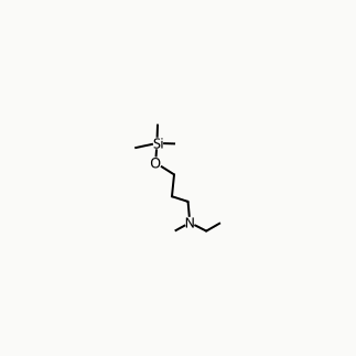 CCN(C)CCCO[Si](C)(C)C